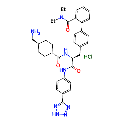 CCN(CC)C(=O)c1ccccc1-c1ccc(C[C@H](NC(=O)[C@H]2CC[C@H](CN)CC2)C(=O)Nc2ccc(-c3nn[nH]n3)cc2)cc1.Cl